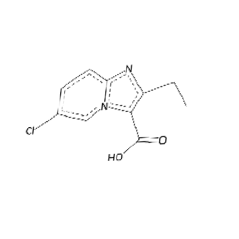 CCc1nc2ccc(Cl)cn2c1C(=O)O